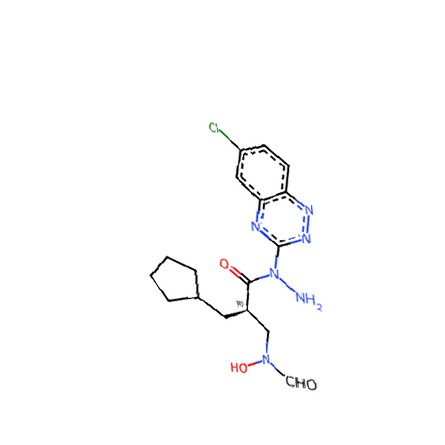 NN(C(=O)[C@H](CC1CCCC1)CN(O)C=O)c1nnc2ccc(Cl)cc2n1